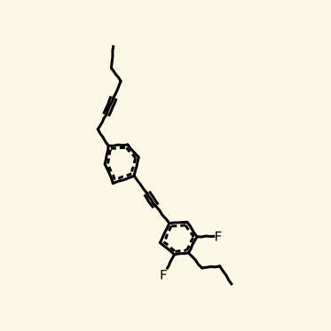 CCCC#CCc1ccc(C#Cc2cc(F)c(CCC)c(F)c2)cc1